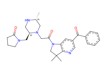 C[C@@H]1CN(CC(=O)N2CC(C)(C)c3ncc(C(=O)c4ccccc4)cc32)[C@@H](CN2CCCC2=O)CN1